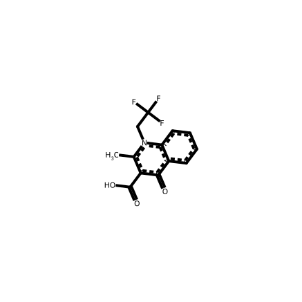 Cc1c(C(=O)O)c(=O)c2ccccc2n1CC(F)(F)F